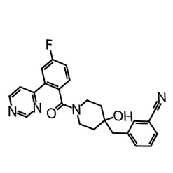 N#Cc1cccc(CC2(O)CCN(C(=O)c3ccc(F)cc3-c3ccncn3)CC2)c1